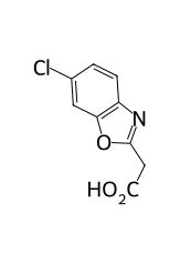 O=C(O)Cc1nc2ccc(Cl)cc2o1